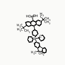 CC(C)(C)c1ccc2c(-c3ccc([Si](c4ccccc4)(c4ccccc4)c4ccc5c(c4)-c4ccccc4C5(C)C)cc3)c3cc(C(C)(C)C)ccc3c(B(O)O)c2c1